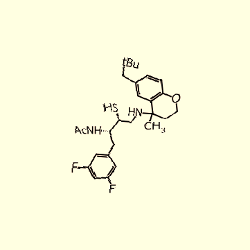 CC(=O)N[C@@H](Cc1cc(F)cc(F)c1)[C@@H](S)CNC1(C)CCOc2ccc(CC(C)(C)C)cc21